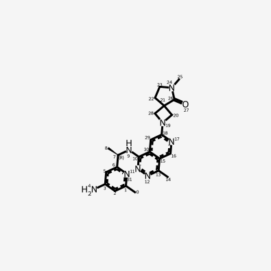 Cc1cc(N)cc([C@@H](C)Nc2nnc(C)c3cnc(N4CC5(CCN(C)C5=O)C4)cc23)n1